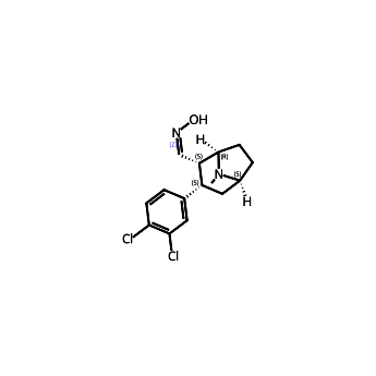 CN1[C@H]2CC[C@@H]1[C@@H](/C=N\O)[C@@H](c1ccc(Cl)c(Cl)c1)C2